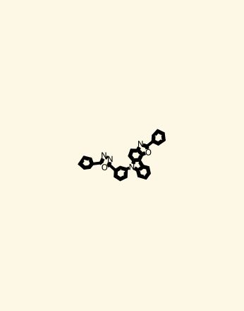 c1ccc(-c2nnc(-c3cccc(-n4c5ccccc5c5c6oc(-c7ccccc7)nc6ccc54)c3)o2)cc1